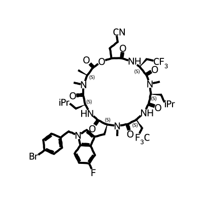 CC(C)C[C@@H]1NC(=O)[C@H](Cc2cn(Cc3ccc(Br)cc3)c3ccc(F)cc23)N(C)C(=O)[C@H](CC(F)(F)F)NC(=O)[C@H](CC(C)C)N(C)C(=O)[C@H](CC(F)(F)F)NC(=O)C(CCC#N)OC(=O)[C@H](C)N(C)C1=O